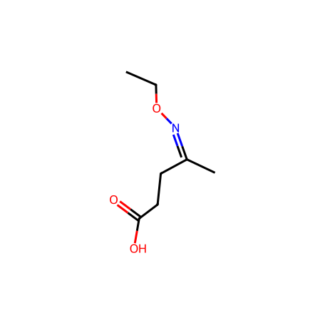 CCON=C(C)CCC(=O)O